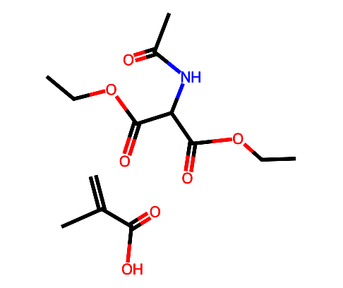 C=C(C)C(=O)O.CCOC(=O)C(NC(C)=O)C(=O)OCC